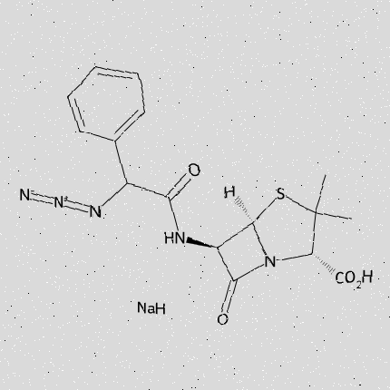 CC1(C)S[C@@H]2[C@H](NC(=O)C(N=[N+]=[N-])c3ccccc3)C(=O)N2[C@H]1C(=O)O.[NaH]